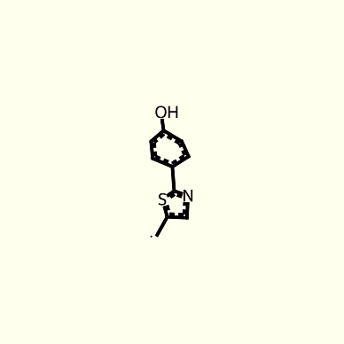 [CH2]c1cnc(-c2ccc(O)cc2)s1